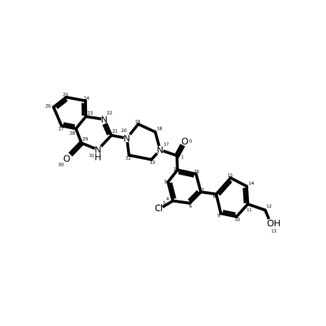 O=C(c1cc(Cl)cc(-c2ccc(CO)cc2)c1)N1CCN(c2nc3ccccc3c(=O)[nH]2)CC1